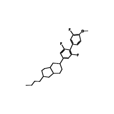 CCCCC1CCC2CC(c3cc(F)c(-c4ccc(OC)c(F)c4)c(F)c3)CCC2C1